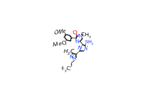 COc1cc(OC)cc(-c2nc(-c3nc(-c4cn(CCCC(F)(F)F)nc4C)cnc3N)cn(C)c2=O)c1